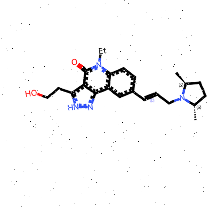 CCn1c(=O)c2c(CCO)[nH]nc2c2cc(/C=C/CN3[C@@H](C)CC[C@@H]3C)ccc21